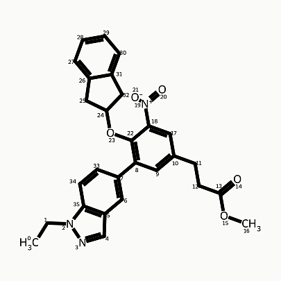 CCn1ncc2cc(-c3cc(CCC(=O)OC)cc([N+](=O)[O-])c3OC3Cc4ccccc4C3)ccc21